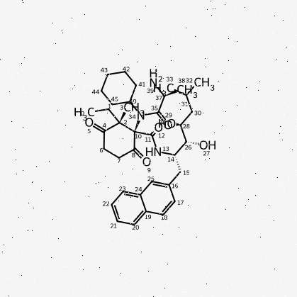 CC[C@@]1(C)C(=O)CCC(=O)[C@]1(C(=O)N[C@@H](Cc1ccc2ccccc2c1)[C@@H](O)[C@@H](O)CC(C)C)N(C(=O)[C@H](C)N)C1CCCCC1